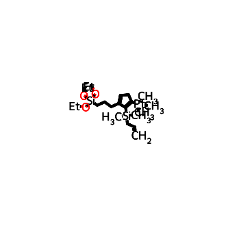 C=CC[Si](C)(C)C1=[C]([Pt]([CH3])([CH3])[CH3])CC=C1CCC[Si](OCC)(OCC)OCC